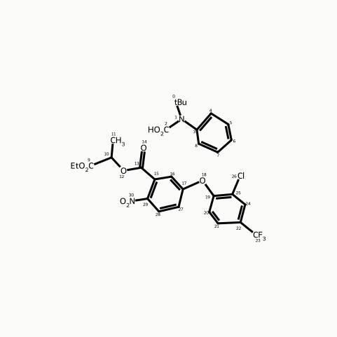 CC(C)(C)N(C(=O)O)c1ccccc1.CCOC(=O)C(C)OC(=O)c1cc(Oc2ccc(C(F)(F)F)cc2Cl)ccc1[N+](=O)[O-]